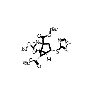 CC(C)(C)OC(=O)N[C@@]1(C(=O)OC(C)(C)C)C[C@H](Sc2nc[nH]n2)[C@H]2[C@H](C(=O)OC(C)(C)C)[C@H]21